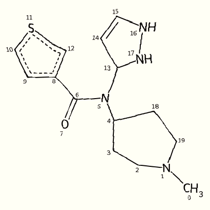 CN1CCC(N(C(=O)c2ccsc2)C2C=CNN2)CC1